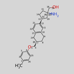 Cc1ccc(OC[C@@H]2CCc3cc([C@H]4CC[C@](N)(CO)C4)ccc3C2)cc1